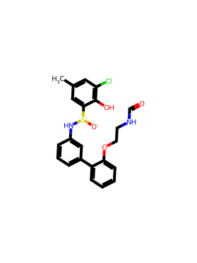 Cc1cc(Cl)c(O)c([S+]([O-])Nc2cccc(-c3ccccc3OCCNC=O)c2)c1